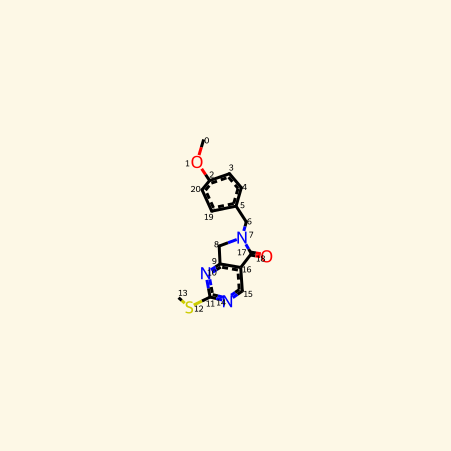 COc1ccc(CN2Cc3nc(SC)ncc3C2=O)cc1